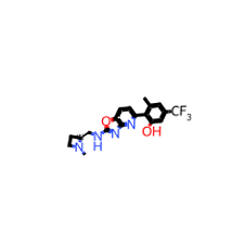 Cc1cc(C(F)(F)F)cc(O)c1-c1ccc2oc(NC[C@@H]3CCN3C)nc2n1